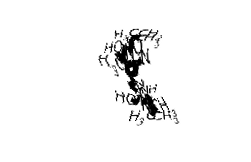 CC(C)(C)OC(=O)N1CC(C)(CO)c2cc(-c3ccnc(Nc4cc(C(C)(C)C)nn4CCO)n3)cc(C#N)c21